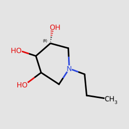 CCCN1CC(O)C(O)[C@H](O)C1